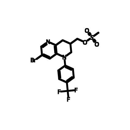 CS(=O)(=O)OCC1Cc2ncc(Br)cc2N(c2ccc(C(F)(F)F)cc2)C1